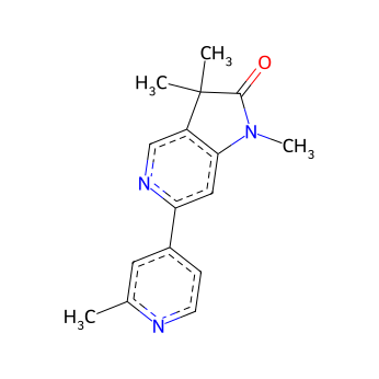 Cc1cc(-c2cc3c(cn2)C(C)(C)C(=O)N3C)ccn1